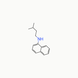 CC(C)CCNc1cccc2ccccc12